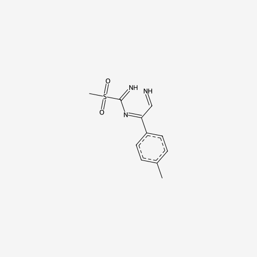 Cc1ccc(/C(C=N)=N/C(=N)S(C)(=O)=O)cc1